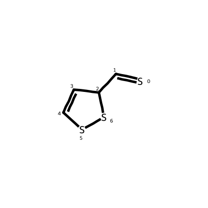 S=CC1C=CSS1